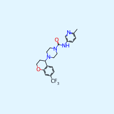 Cc1ccc(NC(=O)N2CCN(C3CCOc4cc(C(F)(F)F)ccc43)CC2)cn1